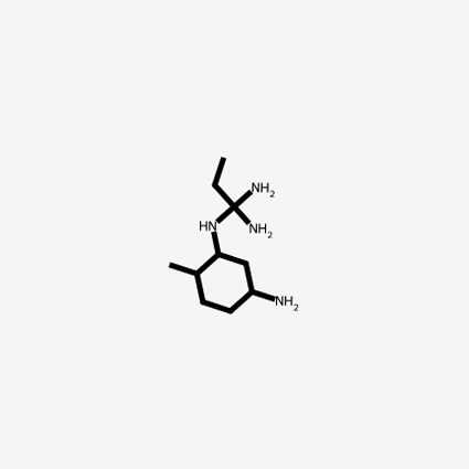 CCC(N)(N)NC1CC(N)CCC1C